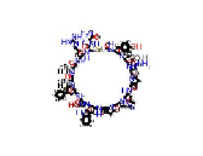 CCCC[C@H]1C(=O)N(C)[C@@H](CCCC)C(=O)N[C@@H](CCCNC(=N)N)C(=O)N[C@H](C(=O)NCC(N)=O)CSCC(=O)N[C@@H](Cc2ccc(O)cc2)C(=O)N(C)[C@@H](CC(=O)O)C(=O)N[C@@H](CC(N)=O)C(=O)N2CCC[C@H]2C(=O)N[C@@H](Cc2cnc[nH]2)C(=O)N[C@@H](CC(C)C)C(=O)N2CCC[C@H]2C(=O)N[C@@H](Cc2c[nH]c3ccccc23)C(=O)N[C@@H](CO)C(=O)N[C@@H](Cc2csc3ccccc23)C(=O)N1C